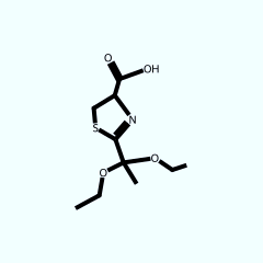 CCOC(C)(OCC)C1=NC(C(=O)O)CS1